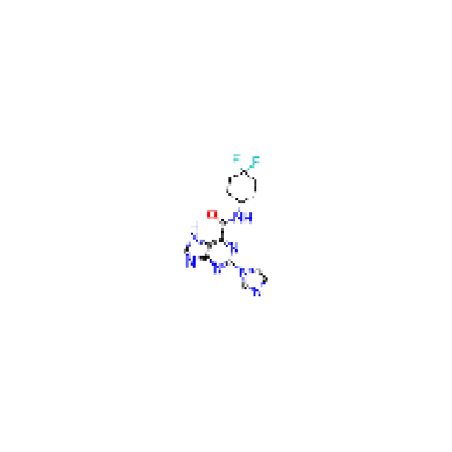 O=C(NC1CCC(F)(F)CC1)c1nc(-n2ccnc2)nc2nc[nH]c12